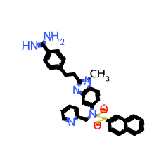 Cn1c(CCc2ccc(C(=N)N)cc2)nc2cc(N(Cc3ccccn3)S(=O)(=O)c3ccc4ccccc4c3)ccc21